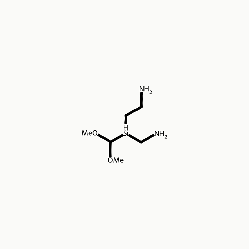 COC(OC)[SiH](CN)CCN